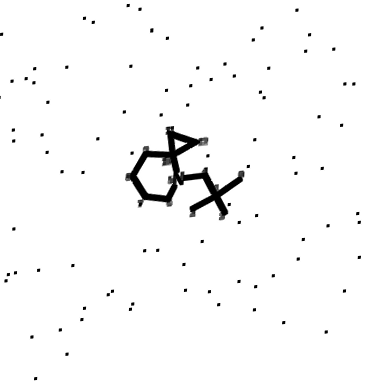 CC(C)(C)CN1CCCCC12CC2